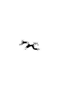 CC(C)C[C@H](N)C(=O)OC1=NN1